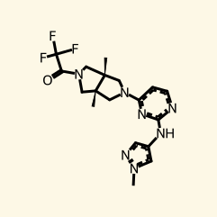 Cn1cc(Nc2nccc(N3C[C@]4(C)CN(C(=O)C(F)(F)F)C[C@]4(C)C3)n2)cn1